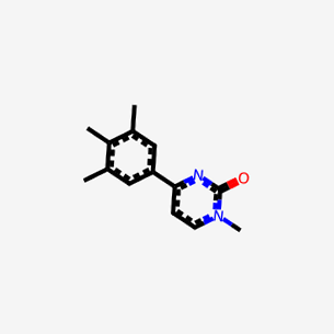 Cc1cc(-c2ccn(C)c(=O)n2)cc(C)c1C